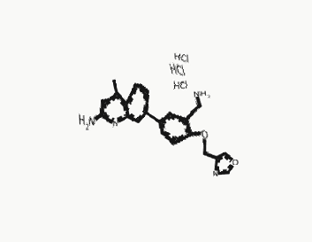 Cc1cc(N)nc2cc(-c3ccc(OCc4cocn4)c(CN)c3)ccc12.Cl.Cl.Cl